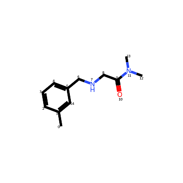 Cc1cccc(CNCC(=O)N(C)C)c1